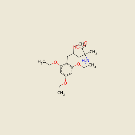 CCOc1cc(OCC)c(CC(CC)CC(C)(N)C(=O)O)c(OCC)c1